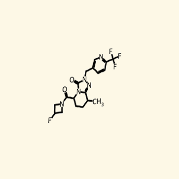 CC1CCC(C(=O)N2CC(F)C2)n2c1nn(Cc1ccc(C(F)(F)F)nc1)c2=O